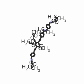 C=CC(=O)OC#Cc1c(C#Cc2ccc(/C(C)=C(\C)c3ccc(/C=C/OC(=O)C(=C)C)cc3)cc2)c(F)c(OC)c(C#Cc2ccc(/C=C/OC(=O)C(=C)C)cc2)c1OC(=O)C=C